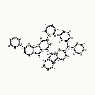 c1ccc(-c2ccc3oc4c(-n5c6ccccc6c6ccc(N(c7ccccc7)c7ccccc7)cc65)nc(-c5ccccc5)nc4c3c2)cc1